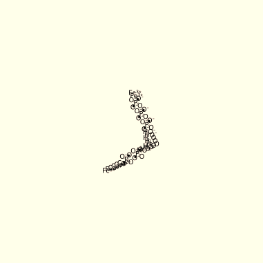 O.O.O.O.O=P([O-])([O-])[O-].O=P([O-])([O-])[O-].O=P([O-])([O-])[O-].O=P([O-])([O-])[O-].O=P([O-])([O-])[O-].[Ca+2].[Ca+2].[Ca+2].[Ca+2].[Fe+3].[Fe+3].[Fe+3].[Fe+3].[OH-].[OH-].[OH-].[OH-].[OH-]